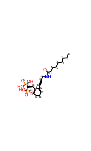 CCCCCCCCC(=O)NCC#Cc1ccccc1C=C(P(=O)(O)O)P(=O)(O)O